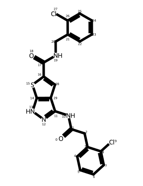 O=C(Cc1ccccc1Cl)Nc1n[nH]c2sc(C(=O)NCc3ccccc3Cl)cc12